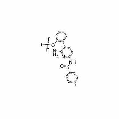 Cc1ccc(C(=O)Nc2ccc(-c3ccccc3OC(F)(F)F)c(N)n2)cc1